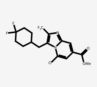 COC(=O)c1cc(Cl)n2c(CC3CCC(F)(F)CC3)c(C(F)(F)F)nc2c1